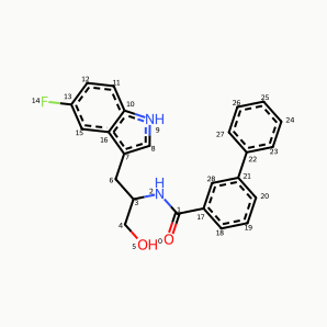 O=C(NC(CO)Cc1c[nH]c2ccc(F)cc12)c1cccc(-c2ccccc2)c1